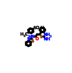 Cc1ccc(S(=O)(=O)O)cc1.N=C(N)SC(=CC(=O)Nc1nc2ccccc2s1)c1ccccc1